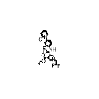 CCOC(=O)[C@H]1CN(CC(F)F)C[C@@H]1C(=O)Nc1ccc(-n2ccccc2=O)cc1F